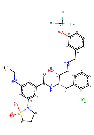 CCNc1cc(C(=O)N[C@@H](Cc2ccccc2)[C@H](O)CNCc2cccc(OC(F)(F)F)c2)cc(N2CCCS2(O)O)c1.Cl